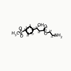 CS(=O)(=O)c1ccc([C@H](O)CC(=O)OCCN)cc1